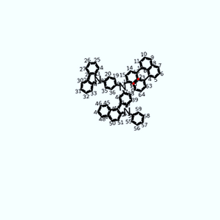 c1ccc(-c2cccc3cccc(-c4ccc(N(c5ccc(-n6c7ccccc7c7ccccc76)cc5)c5ccc6c(c5)c5c7ccccc7ccc5n6-c5ccccc5)cc4)c23)cc1